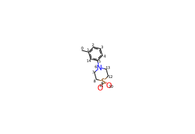 Cc1cccc(N2CCS(=O)(=O)CC2)c1